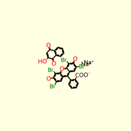 O=C([O-])c1ccccc1-c1c2cc(Br)c(=O)c(Br)c-2oc2c(Br)c([O-])c(Br)cc12.O=C1C=C(O)C(=O)c2ccccc21.[Na+].[Na+]